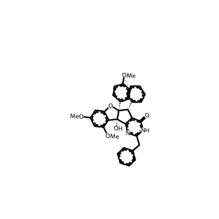 COc1ccc([C@@]23Oc4cc(OC)cc(OC)c4[C@]2(O)c2nc(Cc4ccccc4)[nH]c(=O)c2[C@H]3c2ccccc2)cc1